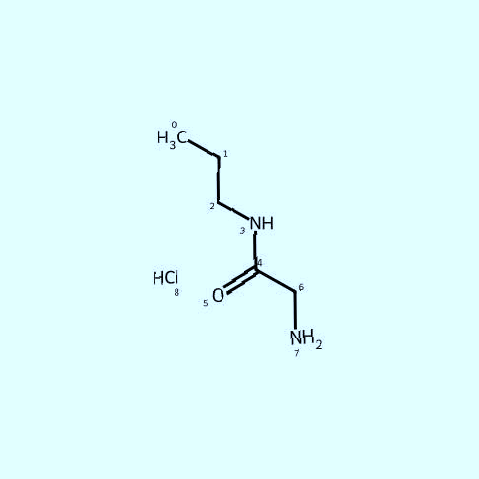 CCCNC(=O)CN.Cl